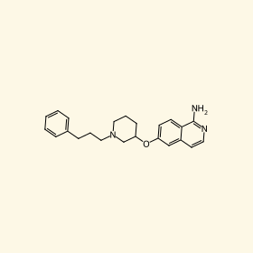 Nc1nccc2cc(OC3CCCN(CCCc4ccccc4)C3)ccc12